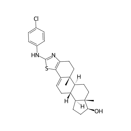 C[C@]12CC[C@H]3[C@@H](CC=C4c5sc(Nc6ccc(Cl)cc6)nc5CC[C@@]43C)[C@@H]1CC[C@@H]2O